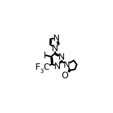 O=C1CCCN1c1nc(-n2ccnc2)c(I)c(C(F)(F)F)n1